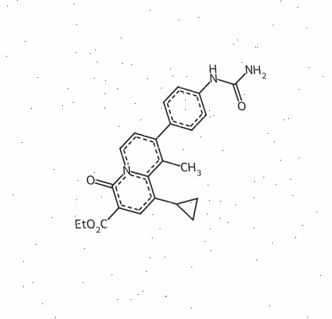 CCOC(=O)c1cc(C2CC2)c2c(C)c(-c3ccc(NC(N)=O)cc3)ccn2c1=O